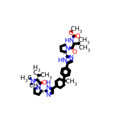 COC(=O)N[C@H](C(=O)N1CCC[C@H]1c1ncc(-c2ccc(C3(C)CC=C(c4cnc([C@@H]5CCCN5C(=O)[C@@H](C(C)C)N(C)C)[nH]4)CC3)cc2)[nH]1)C(C)C